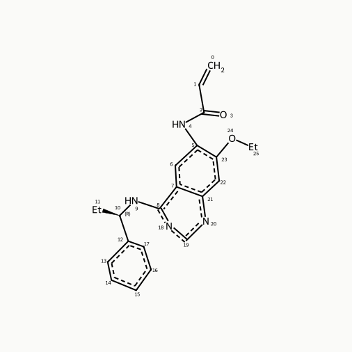 C=CC(=O)Nc1cc2c(N[C@H](CC)c3ccccc3)ncnc2cc1OCC